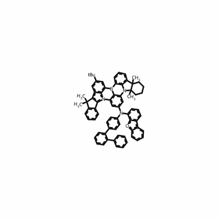 CC(C)(C)c1cc2c3c(c1)c1c(n3-c3cc(N(c4ccc(-c5ccccc5-c5ccccc5)cc4)c4cccc5c4oc4ccccc45)cc4c3B2c2cccc3c2N4C2(C)CCCCC32C)-c2ccccc2C1(C)C